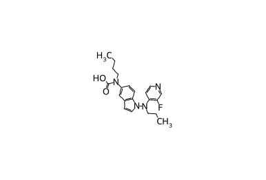 CCCCN(C(=O)O)c1ccc2c(ccn2N(CCC)c2ccncc2F)c1